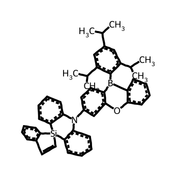 CC(C)c1cc(C(C)C)c(B2c3ccccc3Oc3cc(N4c5ccccc5[Si]5(C=Cc6ccccc65)c5ccccc54)ccc32)c(C(C)C)c1